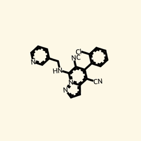 [C-]#[N+]c1c(-c2ccccc2Cl)c(C#N)c2ccnn2c1NCc1cccnc1